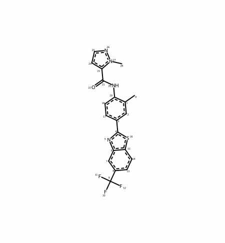 Cc1cc(-c2nc3cc(C(F)(F)F)ccc3s2)ccc1NC(=O)c1ccnn1C